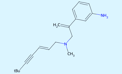 C=C(CN(C)CC=CC#CC(C)(C)C)c1cccc(N)c1